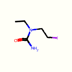 CCN(CCI)C(N)=O